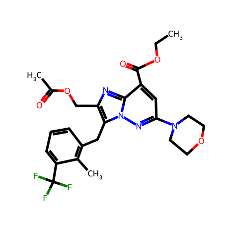 CCOC(=O)c1cc(N2CCOCC2)nn2c(Cc3cccc(C(F)(F)F)c3C)c(COC(C)=O)nc12